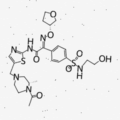 CC(=O)N1CCN(Cc2cnc(NC(=O)/C(=N/O[C@@H]3CCOC3)c3ccc(S(=O)(=O)NCCO)cc3)s2)C[C@@H]1C